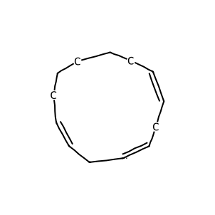 [C]1=CCC=CCCCCCC=CC1